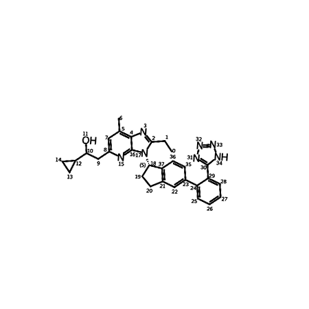 CCc1nc2c(C)cc(CC(O)C3CC3)nc2n1[C@H]1CCc2cc(-c3ccccc3-c3nnn[nH]3)ccc21